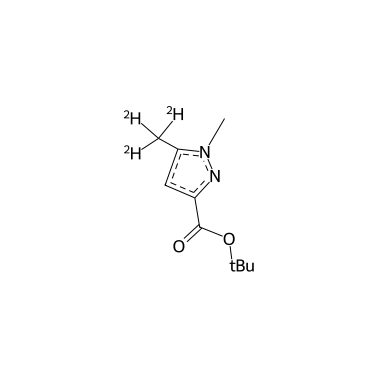 [2H]C([2H])([2H])c1cc(C(=O)OC(C)(C)C)nn1C